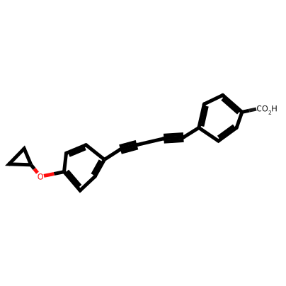 O=C(O)c1ccc(C#CC#Cc2ccc(OC3CC3)cc2)cc1